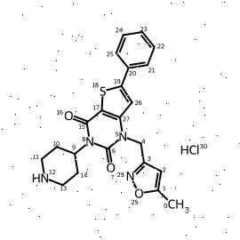 Cc1cc(Cn2c(=O)n(C3CCNCC3)c(=O)c3sc(-c4ccccc4)cc32)no1.Cl